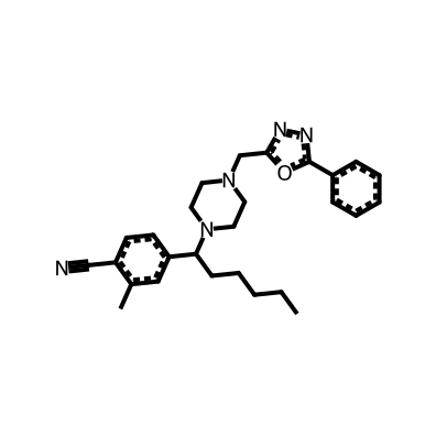 CCCCCC(c1ccc(C#N)c(C)c1)N1CCN(Cc2nnc(-c3ccccc3)o2)CC1